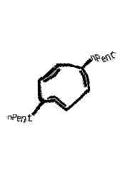 CCCC[CH]c1ccc([CH]CCCC)cc1